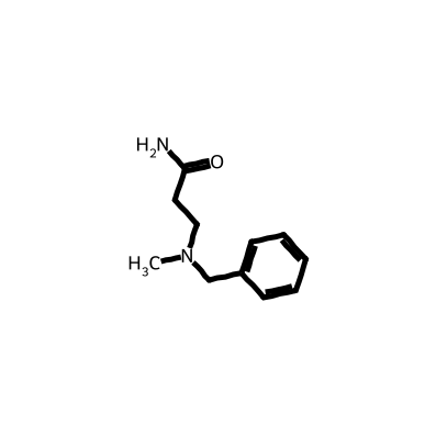 CN(CCC(N)=O)Cc1ccccc1